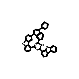 c1ccc(C2=NC(c3cccc4oc5ccc(-c6ccc(-c7ccccc7)cc6)cc5c34)=NC(c3cccc4c3oc3ccccc34)N2)cc1